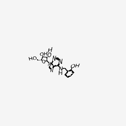 OC[C@H]1OC(n2cnc3c(NCc4ccccc4O)ncnc32)[C@H](O)[C@@H]1O